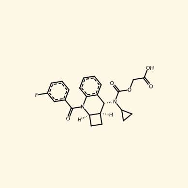 O=C(O)COC(=O)N(C1CC1)[C@H]1c2ccccc2N(C(=O)c2cccc(F)c2)[C@@H]2CC[C@@H]21